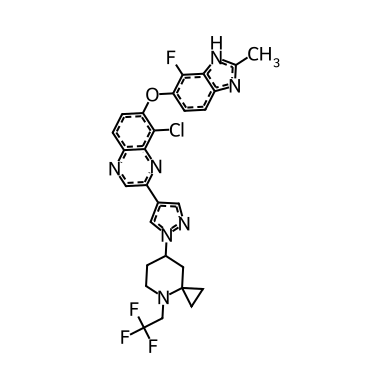 Cc1nc2ccc(Oc3ccc4ncc(-c5cnn(C6CCN(CC(F)(F)F)C7(CC7)C6)c5)nc4c3Cl)c(F)c2[nH]1